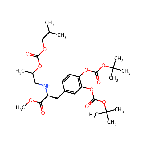 COC(=O)[C@H](Cc1ccc(OC(=O)OC(C)(C)C)c(OC(=O)OC(C)(C)C)c1)NCC(C)OC(=O)OCC(C)C